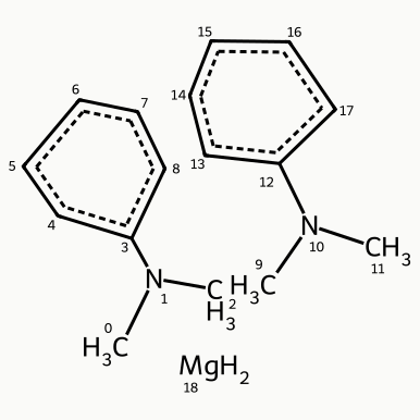 CN(C)c1ccccc1.CN(C)c1ccccc1.[MgH2]